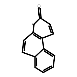 O=C1[C]c2ccc3ccccc3c2C=C1